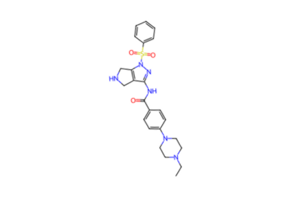 CCN1CCN(c2ccc(C(=O)Nc3nn(S(=O)(=O)c4ccccc4)c4c3CNC4)cc2)CC1